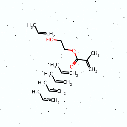 C=C(C)C(=O)OCCO.C=CC.C=CC.C=CC.C=CC.C=CC